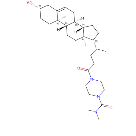 CC(CCC(=O)N1CCN(C(=O)N(C)C)CC1)[C@H]1CC[C@H]2[C@@H]3CC=C4C[C@@H](O)CC[C@]4(C)[C@H]3CC[C@]12C